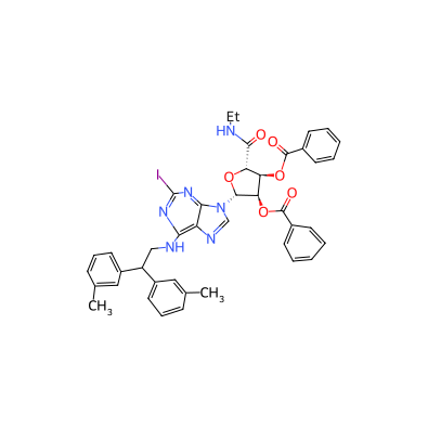 CCNC(=O)[C@H]1O[C@@H](n2cnc3c(NCC(c4cccc(C)c4)c4cccc(C)c4)nc(I)nc32)[C@H](OC(=O)c2ccccc2)[C@@H]1OC(=O)c1ccccc1